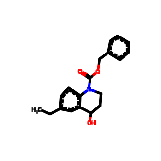 CCc1ccc2c(c1)C(O)CCN2C(=O)OCc1ccccc1